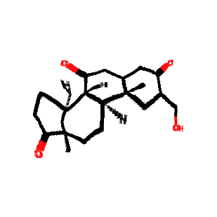 C[C@]12CC(CO)C(=O)CC1CC(=O)[C@@H]1[C@@H]2CC[C@]2(C)C(=O)CC[C@@H]12